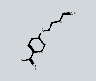 CC(=O)C1=CCC(OCCCC=O)CC1